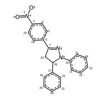 O=[N+]([O-])c1ccc(C2=NN(c3ccccc3)C(c3ccccc3)C2)cc1